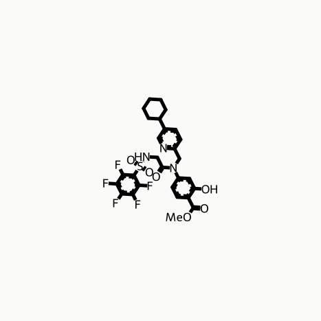 COC(=O)c1ccc(N(Cc2ccc(C3CCCCC3)cn2)C(=O)CNS(=O)(=O)c2c(F)c(F)c(F)c(F)c2F)cc1O